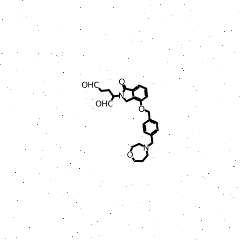 O=CCCC(C=O)N1Cc2c(OCc3ccc(CN4CCCOCC4)cc3)cccc2C1=O